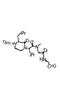 CC(C)CC1C(=O)N(C(C(=O)N(C)CC(=O)NCC=O)C(C)C)CCN1C=O